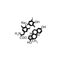 C[C@]12CC[C@@H]3c4ccc(O)cc4CC[C@H]3[C@@H]1CC[C@@H]2O.N[C@@H](Cc1cc(I)c(Oc2cc(I)c(O)c(I)c2)c(I)c1)C(=O)[O-].[Na+]